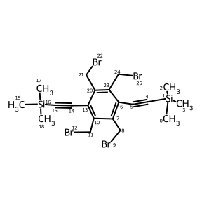 C[Si](C)(C)C#Cc1c(CBr)c(CBr)c(C#C[Si](C)(C)C)c(CBr)c1CBr